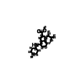 COC(=O)c1cc2c(NC3CCN(C)CC3)cccc2n1C(F)C(F)F